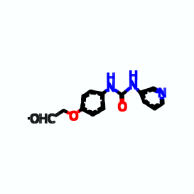 O=[C]COc1ccc(NC(=O)Nc2cccnc2)cc1